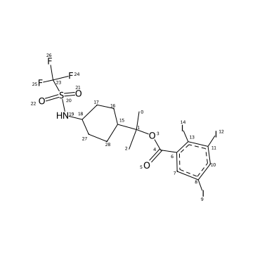 CC(C)(OC(=O)c1cc(I)cc(I)c1I)C1CCC(NS(=O)(=O)C(F)(F)F)CC1